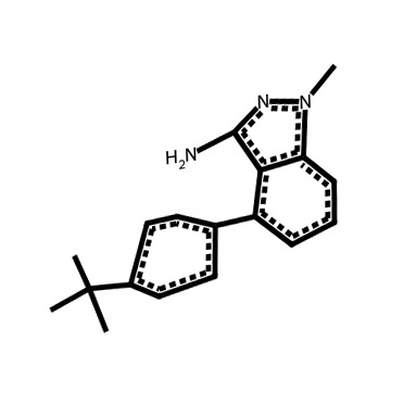 Cn1nc(N)c2c(-c3ccc(C(C)(C)C)cc3)cccc21